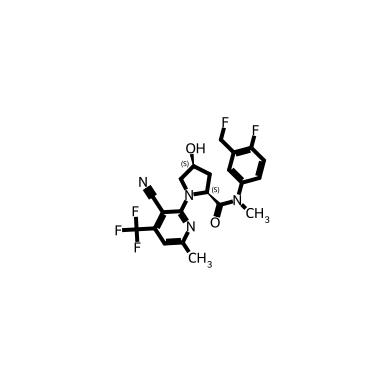 Cc1cc(C(F)(F)F)c(C#N)c(N2C[C@@H](O)C[C@H]2C(=O)N(C)c2ccc(F)c(CF)c2)n1